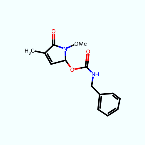 CON1C(=O)C(C)=CC1OC(=O)NCc1ccccc1